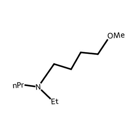 CCCN(CC)CCCCOC